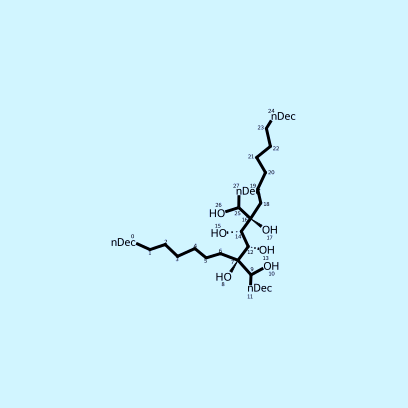 CCCCCCCCCCCCCCCC[C@@](O)(C(O)CCCCCCCCCC)[C@@H](O)[C@H](O)[C@@](O)(CCCCCCCCCCCCCCCC)C(O)CCCCCCCCCC